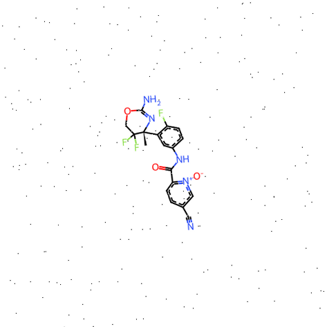 C[C@]1(c2cc(NC(=O)c3ccc(C#N)c[n+]3[O-])ccc2F)N=C(N)OCC1(F)F